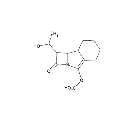 CC(O)C1C(=O)N2C(OC(=O)O)=C3CCCCC3C12